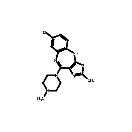 Cc1nc2c(s1)Nc1ccc(Cl)cc1N=C2N1CCN(C)CC1